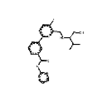 CC(C)[C@H](CO)NCc1nc(-c2cccc(C(=O)Nc3nccs3)c2)ccc1F